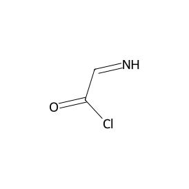 N=CC(=O)Cl